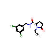 CCN1C(=O)CC[C@H]1C(=O)NCc1cc(Cl)cc(Cl)c1